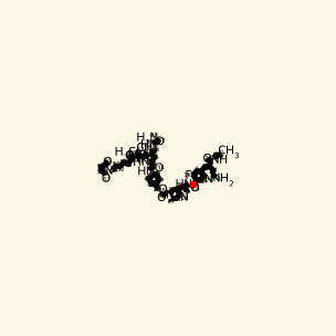 CCCNC(=O)C1=Cc2cc(F)c(C(=O)Nc3cnc4c(c3)CN(C(=O)OCc3ccc(NC(=O)C(CCCNC(N)=O)NC(=O)C(NC(=O)CCCCCN5C(=O)C=CC5=O)C(C)C)cc3)CC4)cc2N=C(N)C1